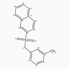 Cc1cccc(CS(=O)(=O)c2ccc3ccccc3c2)c1